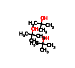 CC(C)(C)O.CC(C)(C)O.CC(C)(C)O